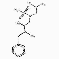 CC(C)CN(CC(O)C(N)Cc1ccccc1)S(C)(=O)=O